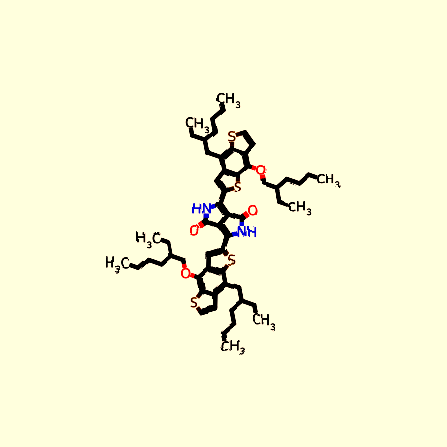 CCCCC(CC)COc1c2cc(C3=C4C(=O)NC(c5cc6c(CC(CC)CCCC)c7sccc7c(OCC(CC)CCCC)c6s5)=C4C(=O)N3)sc2c(CC(CC)CCCC)c2ccsc12